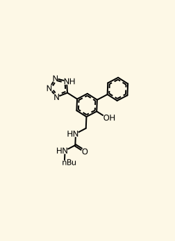 CCCCNC(=O)NCc1cc(-c2nnn[nH]2)cc(-c2ccccc2)c1O